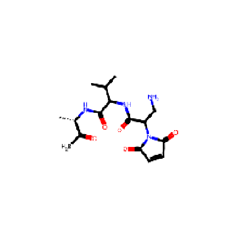 BC(=O)[C@H](C)NC(=O)C(NC(=O)C(CN)N1C(=O)C=CC1=O)C(C)C